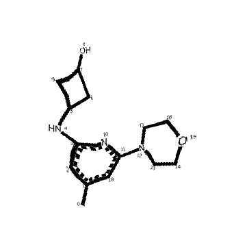 Cc1cc(NC2CC(O)C2)nc(N2CCOCC2)c1